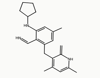 C=C1NC(C)=CC(C)=C1Cc1cc(C)cc(NC2CCCC2)c1C=N